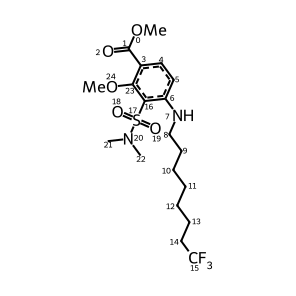 COC(=O)c1ccc(NCCCCCCCC(F)(F)F)c(S(=O)(=O)N(C)C)c1OC